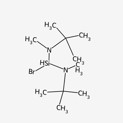 CN([SiH](Br)N(C)C(C)(C)C)C(C)(C)C